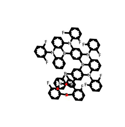 Fc1cccc(F)c1N1c2ccccc2B2c3cc4c(cc3N(c3c(F)cccc3F)c3cccc1c32)N(c1c(F)cccc1F)c1cccc2c1B4c1cc3c(cc1N2c1c(F)cccc1F)N(c1c(F)cccc1F)c1cccc2c1B3c1ccccc1N2c1c(F)cccc1F